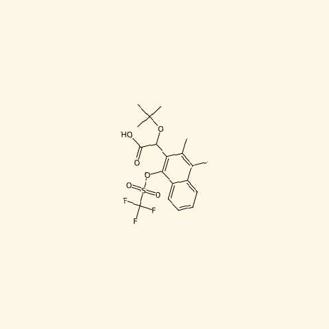 Cc1c(C(OC(C)(C)C)C(=O)O)c(OS(=O)(=O)C(F)(F)F)c2ccccc2c1C